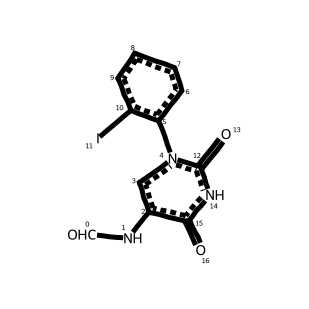 O=CNc1cn(-c2ccccc2I)c(=O)[nH]c1=O